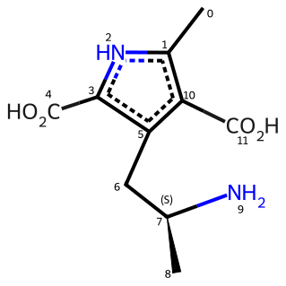 Cc1[nH]c(C(=O)O)c(C[C@H](C)N)c1C(=O)O